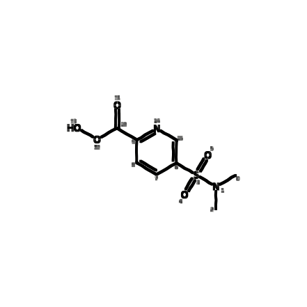 CN(C)S(=O)(=O)c1ccc(C(=O)OO)nc1